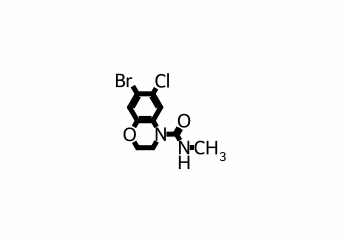 CNC(=O)N1CCOc2cc(Br)c(Cl)cc21